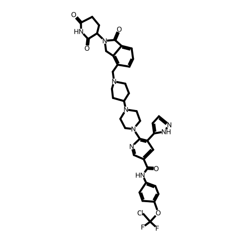 O=C1CCC(N2Cc3c(CN4CCC(N5CCN(c6ncc(C(=O)Nc7ccc(OC(F)(F)Cl)cc7)cc6-c6ccn[nH]6)CC5)CC4)cccc3C2=O)C(=O)N1